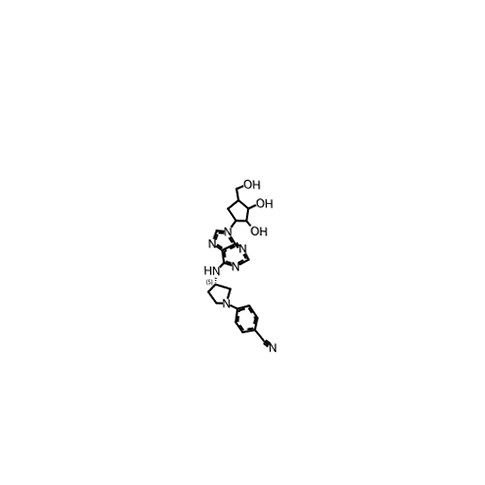 N#Cc1ccc(N2CC[C@H](Nc3ncnc4c3ncn4C3CC(CO)C(O)C3O)C2)cc1